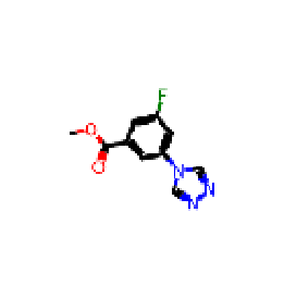 COC(=O)c1cc(F)cc(-n2cnnc2)c1